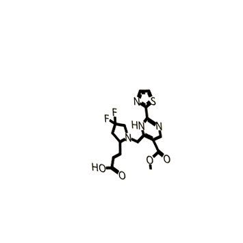 COC(=O)C1=C(CN2CC(F)(F)CC2CCC(=O)O)NC(c2nccs2)=NC1